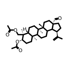 C=C(C)[C@@H]1CC[C@]2(C=O)CC[C@]3(C)C(CCC4[C@@]5(C)CC[C@H](OC(C)=O)[C@@](C)(COC(C)=O)[C@@H]5CC[C@]43C)C12